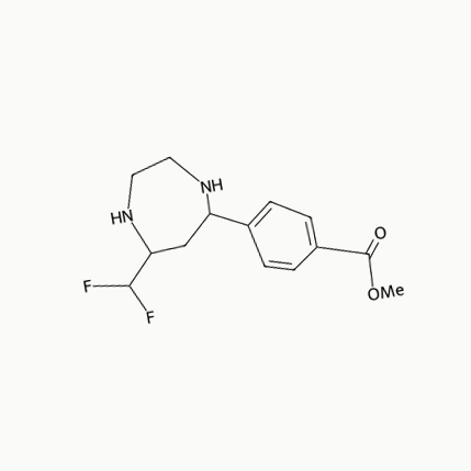 COC(=O)c1ccc(C2CC(C(F)F)NCCN2)cc1